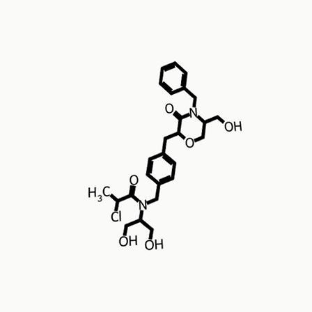 CC(Cl)C(=O)N(Cc1ccc(CC2OCC(CO)N(Cc3ccccc3)C2=O)cc1)C(CO)CO